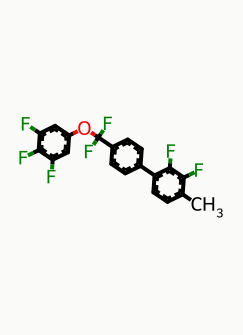 Cc1ccc(-c2ccc(C(F)(F)Oc3cc(F)c(F)c(F)c3)cc2)c(F)c1F